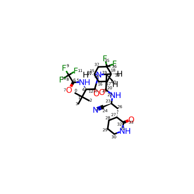 CC(C)(C)[C@H](NC(=O)C(F)(F)F)C(=O)N1[C@H]2CC[C@@H]([C@@H]1C(=O)N[C@H](C#N)C[C@H]1CCCNC1=O)C(F)(F)C2